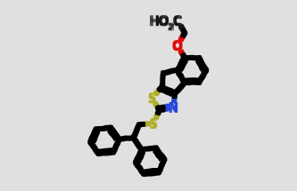 O=C(O)COc1cccc2c1Cc1sc(SCC(c3ccccc3)c3ccccc3)nc1-2